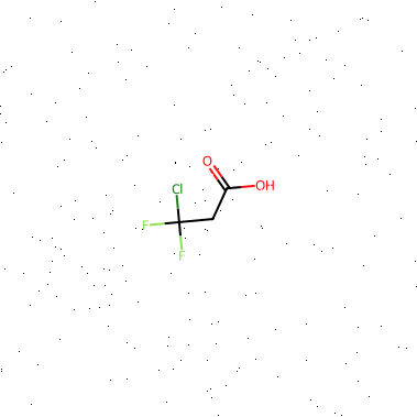 O=C(O)CC(F)(F)Cl